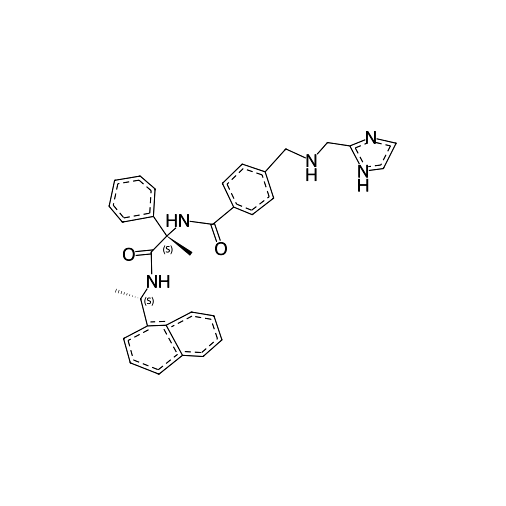 C[C@H](NC(=O)[C@@](C)(NC(=O)c1ccc(CNCc2ncc[nH]2)cc1)c1ccccc1)c1cccc2ccccc12